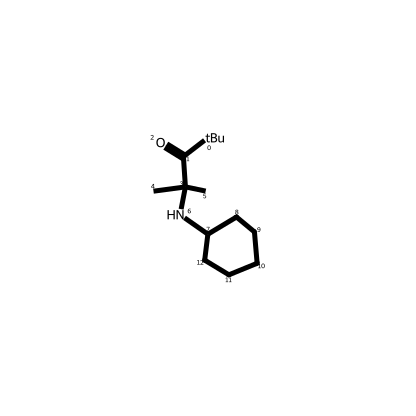 CC(C)(C)C(=O)C(C)(C)NC1CCCCC1